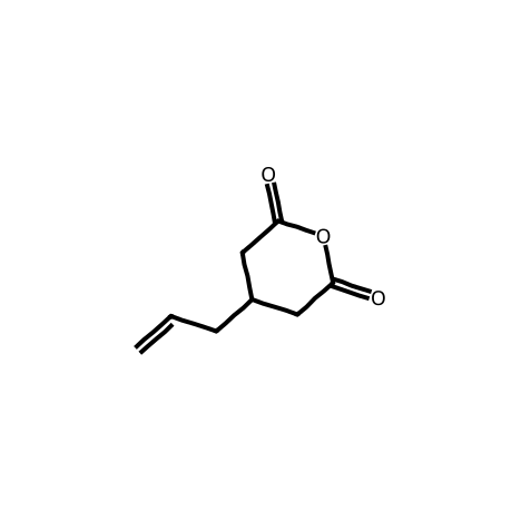 C=CCC1CC(=O)OC(=O)C1